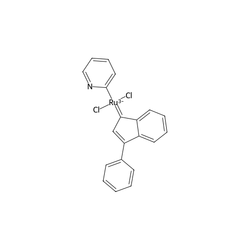 [Cl][Ru-3]([Cl])(=[C]1C=C(c2ccccc2)c2ccccc21)[c]1ccccn1